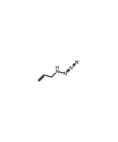 C=CCNN=[N+]=[N-]